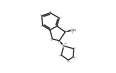 O[C@@H]1c2ccccc2C[C@@H]1N1CCCC1